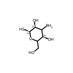 BC1[C@@H](O)C(CO)O[C@@H](S)[C@H]1O